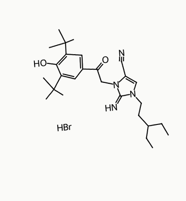 Br.CCC(CC)CCn1cc(C#N)n(CC(=O)c2cc(C(C)(C)C)c(O)c(C(C)(C)C)c2)c1=N